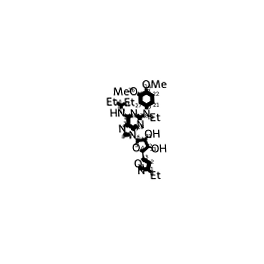 CCc1cc([C@H]2O[C@@H](n3cnc4c(NC(CC)CC)nc(N(CC)c5ccc(OC)c(OC)c5)nc43)[C@H](O)[C@@H]2O)on1